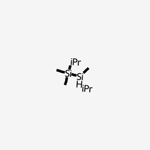 CC(C)[SiH](C)[Si](C)(C)C(C)C